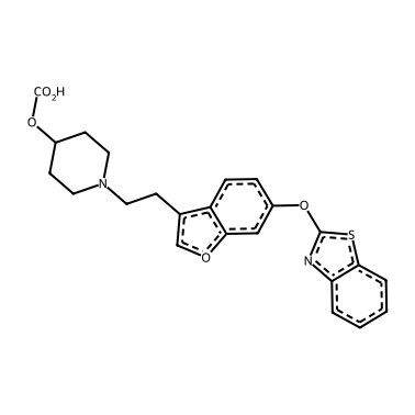 O=C(O)OC1CCN(CCc2coc3cc(Oc4nc5ccccc5s4)ccc23)CC1